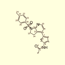 CC(=O)Nc1ccc(-c2ccnc3c2CCN3S(=O)(=O)c2ccc(C)cc2)s1